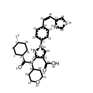 C[C@H]1CC[C@H](C(=O)N(c2nn(-c3ccc(/C=C\c4cscn4)cc3)cc2C(=O)O)C2CCOCC2)CC1